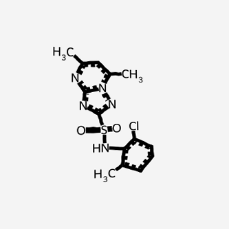 Cc1cc(C)n2nc(S(=O)(=O)Nc3c(C)cccc3Cl)nc2n1